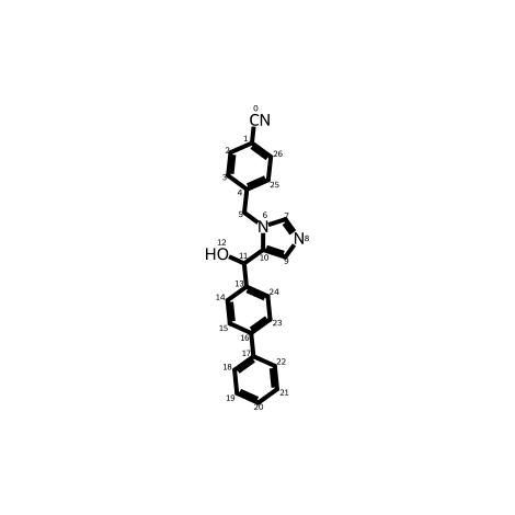 N#Cc1ccc(Cn2cncc2C(O)c2ccc(-c3ccccc3)cc2)cc1